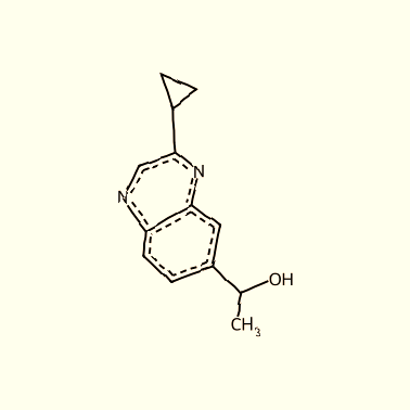 CC(O)c1ccc2ncc(C3CC3)nc2c1